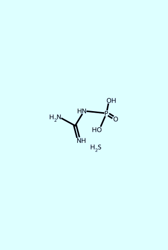 N=C(N)NP(=O)(O)O.S